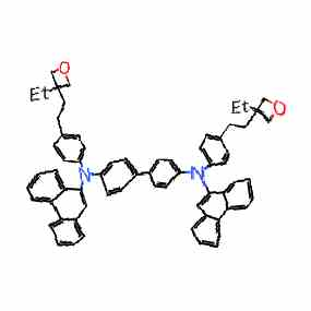 CCC1(CCc2ccc(N(c3ccc(-c4ccc(N(c5ccc(CCC6(CC)COC6)cc5)c5cc6ccccc6c6ccccc56)cc4)cc3)c3cc4ccccc4c4ccccc34)cc2)COC1